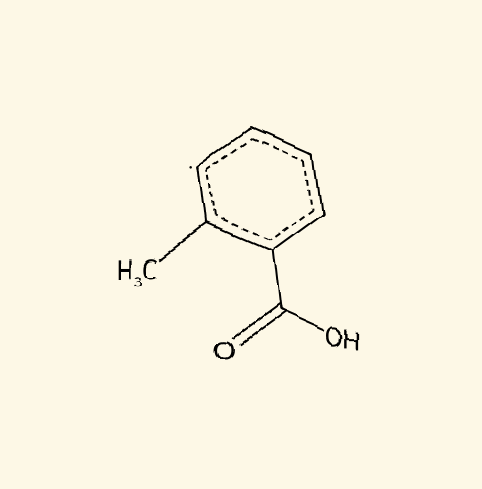 Cc1[c]cccc1C(=O)O